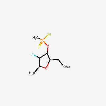 B[C@@H]1O[C@H](COC)C(OP(C)(=S)S)C1F